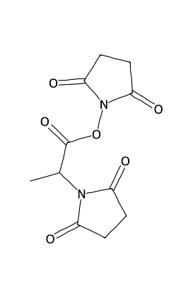 CC(C(=O)ON1C(=O)CCC1=O)N1C(=O)CCC1=O